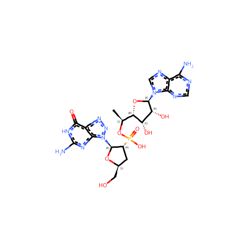 C[C@H](OP(=O)(O)[C@@H]1C[C@@H](CO)O[C@H]1n1nnc2c(=O)[nH]c(N)nc21)[C@@H]1O[C@@H](n2cnc3c(N)ncnc32)[C@H](O)[C@@H]1O